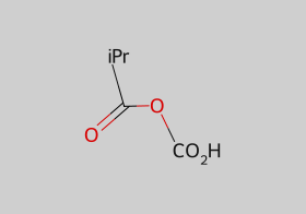 CC(C)C(=O)OC(=O)O